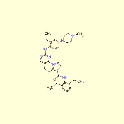 CCc1cc(N2CCN(C)CC2)ccc1Nc1ncc2c(n1)-n1ccc(C(=O)Nc3c(CC)cccc3CC)c1CC2